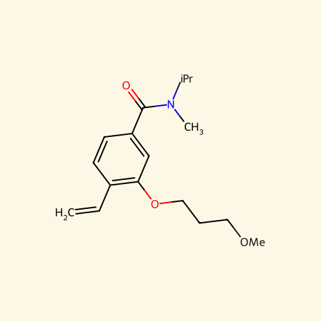 C=Cc1ccc(C(=O)N(C)C(C)C)cc1OCCCOC